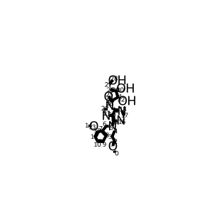 COCCCN(Cc1ccccc1OC)c1ncnc2c1ncn2[C@@H]1O[C@H](CO)[C@@H](O)[C@H]1O